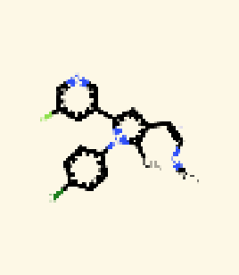 C=N/C=C\c1cc(-c2cncc(F)c2)n(-c2ccc(Cl)cc2)c1C